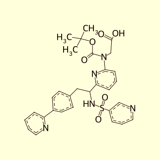 CC(C)(C)OC(=O)N(CC(=O)O)c1cccc(C(Cc2ccc(-c3ccccn3)cc2)NS(=O)(=O)c2cccnc2)n1